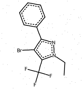 CCn1nc(-c2ccccc2)c(Br)c1C(F)(F)F